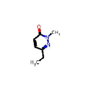 CCc1ccc(=O)n(C)n1